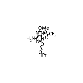 COc1nc2c(N)nc(OCCOC(C)C)nc2n1OC(=O)C(F)(F)F